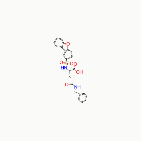 O=C(CCC(NS(=O)(=O)c1ccc2oc3ccccc3c2c1)C(=O)O)NCc1ccccc1